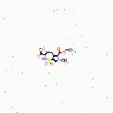 CCOC(=O)c1c2c(cn1C)S(=O)(=O)NC(C(C)=O)CC2